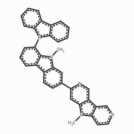 Cn1c2ccncc2c2cnc(-c3ccc4c5cccc(-n6c7ccccc7c7ccccc76)c5n(C)c4c3)cc21